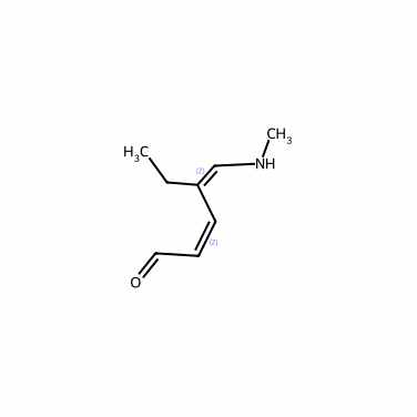 CCC(/C=C\C=O)=C/NC